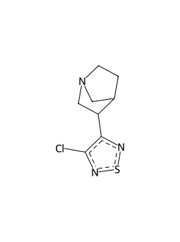 Clc1nsnc1C1CN2CCC1C2